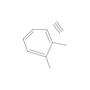 C#C.Cc1ccccc1C